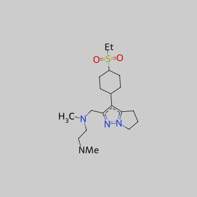 CCS(=O)(=O)C1CCC(c2c(CN(C)CCNC)nn3c2CCC3)CC1